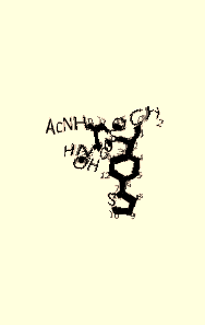 C=CC(c1ccc(-c2cccs2)cc1)S(=O)(=O)CC(NC(C)=O)C(=O)NO